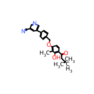 Cc1c(OCc2ccc(-c3cncc(C#N)c3)cc2)ccc(C(=O)CC(C)(C)C)c1O